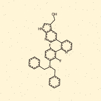 OCc1c[nH]c2ncc(-c3cccnc3-c3c(F)ccc(N(Cc4ccccc4)Cc4ccccc4)c3F)cc12